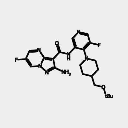 CC(C)(C)OCC1CCN(c2c(F)cncc2NC(=O)c2c(N)nn3cc(F)cnc23)CC1